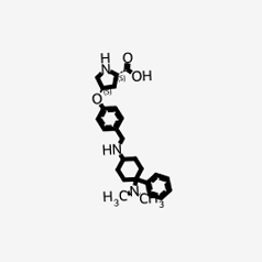 CN(C)C1(c2ccccc2)CCC(NCc2ccc(O[C@@H]3CN[C@H](C(=O)O)C3)cc2)CC1